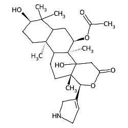 CC(=O)O[C@@H]1CC2C(C)(C)[C@H](O)CC[C@]2(C)C2CC[C@@]3(C)[C@H](C4=CCNC4)OC(=O)CC3(O)[C@@]21C